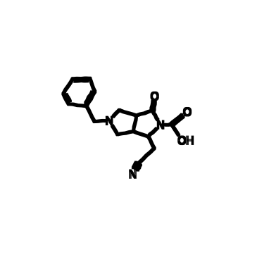 N#CCC1C2CN(Cc3ccccc3)CC2C(=O)N1C(=O)O